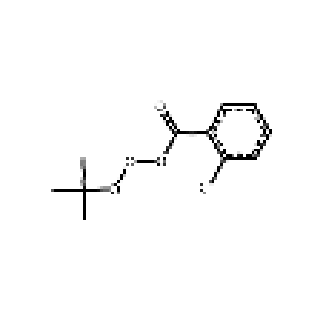 CC(C)(C)OOOC(=O)c1ccccc1Cl